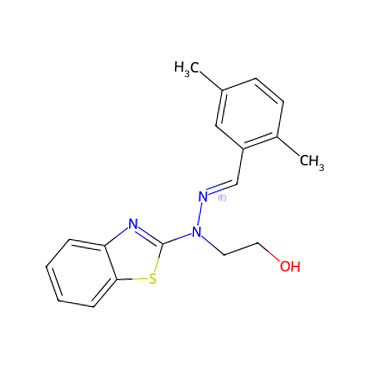 Cc1ccc(C)c(/C=N/N(CCO)c2nc3ccccc3s2)c1